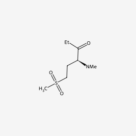 CCC(=O)[C@H](CCS(C)(=O)=O)NC